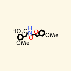 COc1cccc(C[C@H](NC(=O)c2cc3cc(OC)ccc3o2)C(=O)O)c1